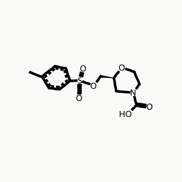 Cc1ccc(S(=O)(=O)OC[C@@H]2CN(C(=O)O)CCO2)cc1